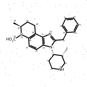 C[C@@H]1CNCC[C@@H]1n1c(Cc2ccccc2)nc2c3c(ccc21)N(C(=O)O)[C@@H](C)CC3